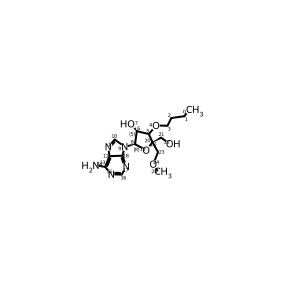 CCCCOC1[C@H](O)[C@H](n2cnc3c(N)ncnc32)O[C@@]1(CO)COC